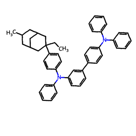 CCC1(c2ccc(N(c3ccccc3)c3cccc(-c4ccc(N(c5ccccc5)c5ccccc5)cc4)c3)cc2)CC2CC(C)CC(C2)C1